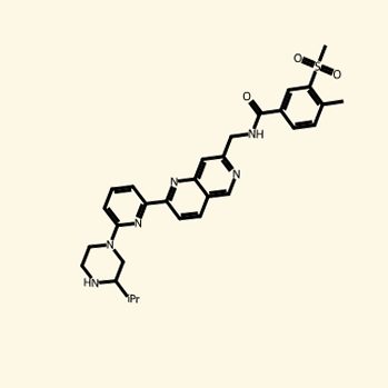 Cc1ccc(C(=O)NCc2cc3nc(-c4cccc(N5CCNC(C(C)C)C5)n4)ccc3cn2)cc1S(C)(=O)=O